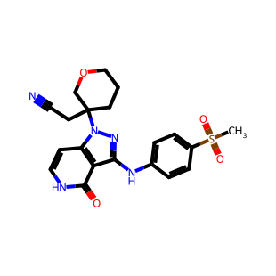 CS(=O)(=O)c1ccc(Nc2nn(C3(CC#N)CCCOC3)c3cc[nH]c(=O)c23)cc1